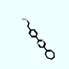 O=CCCc1ccc(-c2ncc(C3=CCCCCC3)cn2)cc1